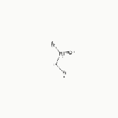 CCC[PH](=O)CC